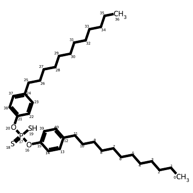 CCCCCCCCCCCCc1ccc(OP(=S)(S)Oc2ccc(CCCCCCCCCCCC)cc2)cc1